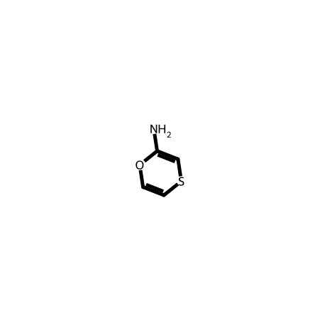 NC1=CSC=CO1